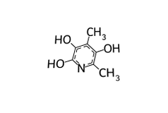 Cc1nc(O)c(O)c(C)c1O